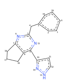 c1ccc(Cc2nc3c(c(-c4cc[nH]n4)n2)CCC3)cc1